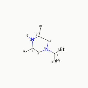 CCCC(CC)N1CC(C)N(C)C(C)C1